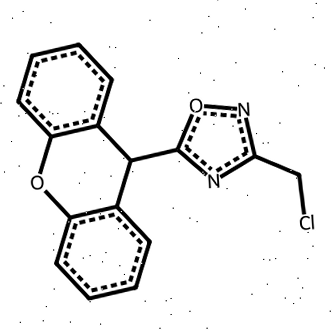 ClCc1noc(C2c3ccccc3Oc3ccccc32)n1